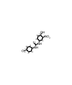 O=[N+]([O-])c1cc(NC(=S)Nc2ccc(Cl)cc2)ccc1O